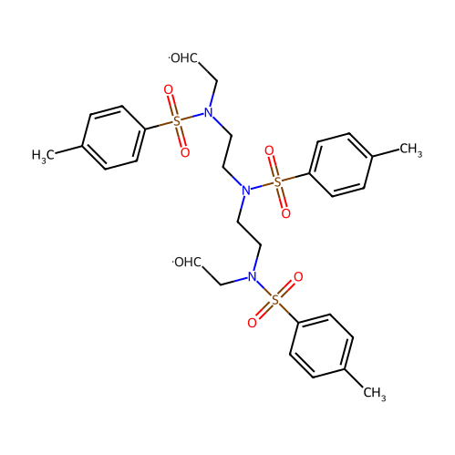 Cc1ccc(S(=O)(=O)N(C[C]=O)CCN(CCN(C[C]=O)S(=O)(=O)c2ccc(C)cc2)S(=O)(=O)c2ccc(C)cc2)cc1